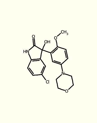 COc1ccc(N2CCOCC2)cc1C1(O)C(=O)Nc2ccc(Cl)cc21